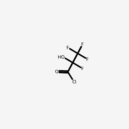 O=C(Cl)C(O)(F)C(F)(F)F